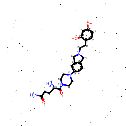 NC(=O)CC[C@@H](N)C(=O)N1CCN(c2ccc3c(c2)CN(CCc2ccc(O)cc2O)C3)CC1